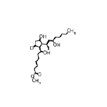 CCCCCC(O)C=C(I)C1C(O)CC(=O)C1C(O)CCCCCC(=O)OC